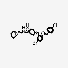 OC1(CNCCN2CCCCC2)CCN(Cc2cc(Br)ccc2OCc2ccc(Cl)cc2)CC1